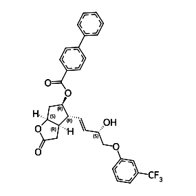 O=C1C[C@@H]2[C@@H](C=C[C@H](O)COc3cccc(C(F)(F)F)c3)[C@H](OC(=O)c3ccc(-c4ccccc4)cc3)C[C@@H]2O1